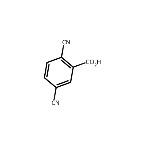 N#Cc1ccc(C#N)c(C(=O)O)c1